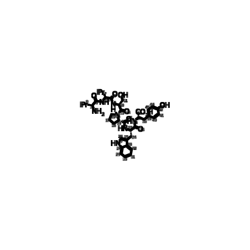 CC(C)[C@H](N)C(=O)N[C@H](C(=O)N[C@@H](CO)C(=O)N1CCC[C@H]1C(=O)N[C@@H](Cc1c[nH]c2ccccc12)C(=O)N[C@@H](Cc1ccc(O)cc1)C(=O)O)C(C)C